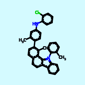 Cc1cc(Nc2ccccc2Cl)ccc1-c1ccc2ccc3c4ccccc4n(-c4ccccc4C)c3c2c1C